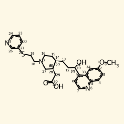 COc1ccc2nccc([C@H](O)CC[C@@H]3CCN(CCSc4cccnc4)C[C@@H]3CC(=O)O)c2c1